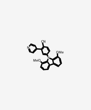 COc1cccc2c3cccc(OC)c3n(-c3ccc(C#N)c(-c4ccncc4)c3)c12